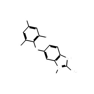 N#Cc1[nH]c2ccc(Oc3c(F)cc(C(F)(F)F)cc3Cl)cc2[n+]1[O-]